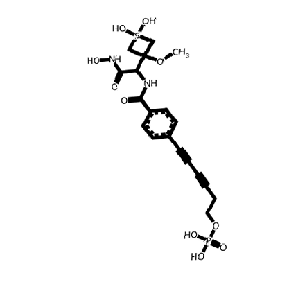 COC1(C(NC(=O)c2ccc(C#CC#CCCOP(=O)(O)O)cc2)C(=O)NO)CS(O)(O)C1